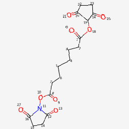 O=C(CCCCCCC(=O)ON1C(=O)CCC1=O)OC1C(=O)CCC1=O